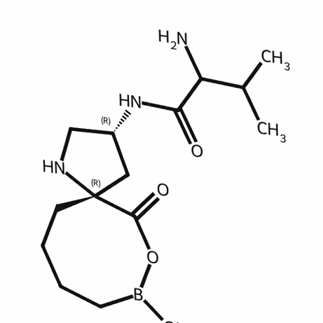 CC(C)C(N)C(=O)N[C@H]1CN[C@]2(CCCCB(O)OC2=O)C1